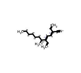 C=C/C(=C\C=C(\C#N)C=C)C(C)CCCCCC